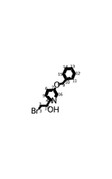 OC(CBr)c1ccc(OCc2ccccc2)cn1